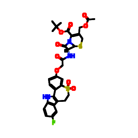 CC(=O)OCC1=C(C(=O)OC(C)(C)C)N2C(=O)[C@@H](NC(=O)COc3ccc4c(c3)S(=O)(=O)CCc3c-4[nH]c4ccc(F)cc34)C2SC1